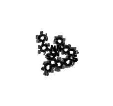 c1ccc(-c2cccc(-c3nc(-n4c5ccccc5c5cc6ccc7sc8ccccc8c7c6cc54)nc4c3sc3c5ccccc5c5ccccc5c43)c2)cc1